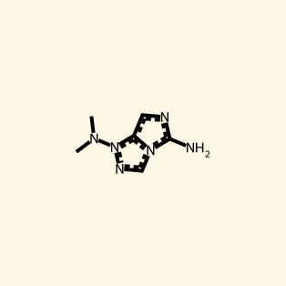 CN(C)n1ncn2c(N)ncc12